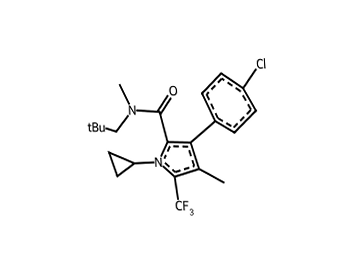 Cc1c(-c2ccc(Cl)cc2)c(C(=O)N(C)CC(C)(C)C)n(C2CC2)c1C(F)(F)F